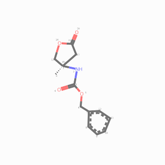 C[C@]1(NC(=O)OCc2ccccc2)COC(=O)C1